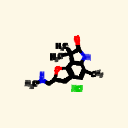 CNCC1Cc2cc(C)c3c(c2O1)C(C)(C)C(=O)N3.Cl